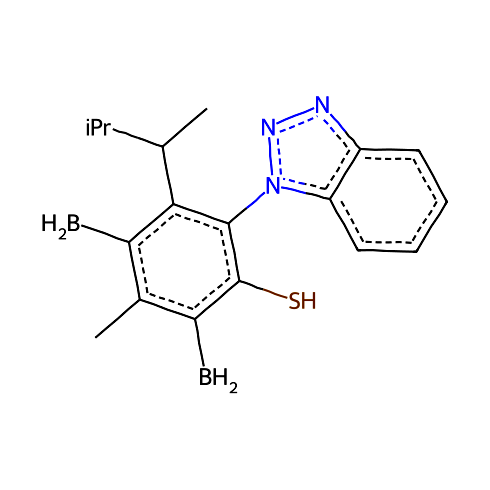 Bc1c(C)c(B)c(C(C)C(C)C)c(-n2nnc3ccccc32)c1S